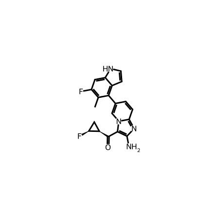 Cc1c(F)cc2[nH]ccc2c1-c1ccc2nc(N)c(C(=O)[C@@H]3C[C@@H]3F)n2c1